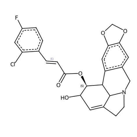 O=C(/C=C/c1ccc(F)cc1Cl)O[C@@H]1C(O)C=C2CCN3Cc4cc5c(cc4C1C23)OCO5